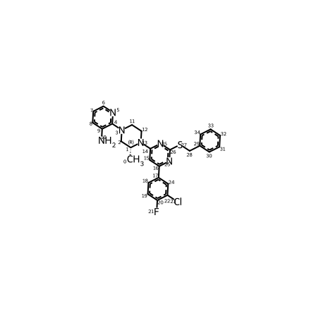 C[C@@H]1CN(c2ncccc2N)CCN1c1cc(-c2ccc(F)c(Cl)c2)nc(SCc2ccccc2)n1